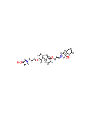 Cc1c(OCCCN2CCC(O)C2)cccc1-c1cccc(OCCCN2CCC(O)(c3ccccc3)C2)c1C